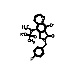 CN(c1c2c(c([O-])c3ncccc13)C(=O)N(Cc1ccc(F)cc1)C2)S(C)(=O)=O.[K+]